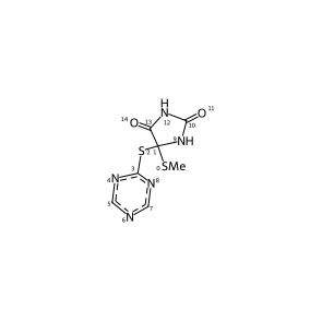 CSC1(Sc2ncncn2)NC(=O)NC1=O